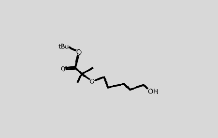 CC(C)(C)OC(=O)C(C)(C)OCCCCCO